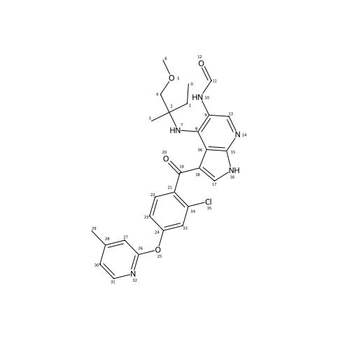 CCC(C)(COC)Nc1c(NC=O)cnc2[nH]cc(C(=O)c3ccc(Oc4cc(C)ccn4)cc3Cl)c12